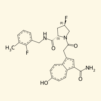 Cc1cccc(CNC(=O)[C@@H]2C[C@@H](F)CN2C(=O)Cc2cc(C(N)=O)c3ccc(O)ccc2-3)c1F